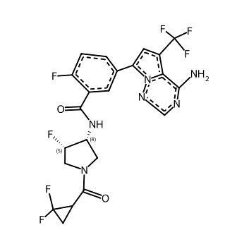 Nc1ncnn2c(-c3ccc(F)c(C(=O)N[C@@H]4CN(C(=O)C5CC5(F)F)C[C@@H]4F)c3)cc(C(F)(F)F)c12